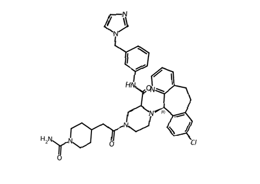 NC(=O)N1CCC(CC(=O)N2CCN([C@@H]3c4ccc(Cl)cc4CCc4cccnc43)C(C(=O)Nc3cccc(Cn4ccnc4)c3)C2)CC1